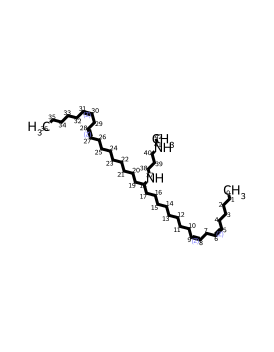 CCCCC/C=C\C/C=C\CCCCCCCCC(CCCCCCCC/C=C\C/C=C\CCCCC)NCCCNC